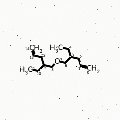 C=CCC(CC)COCC(CC)CC=C